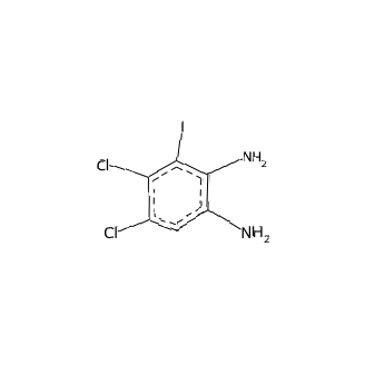 Nc1cc(Cl)c(Cl)c(I)c1N